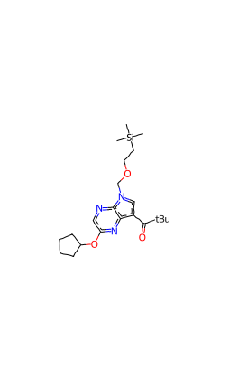 CC(C)(C)C(=O)c1cn(COCC[Si](C)(C)C)c2ncc(OC3CCCC3)nc12